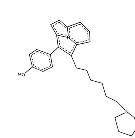 Oc1ccc(-c2c(CCCCCCN3CCCCC3)c3cccc4ccc2n43)cc1